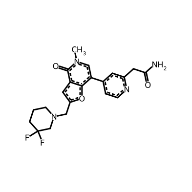 Cn1cc(-c2ccnc(CC(N)=O)c2)c2oc(CN3CCCC(F)(F)C3)cc2c1=O